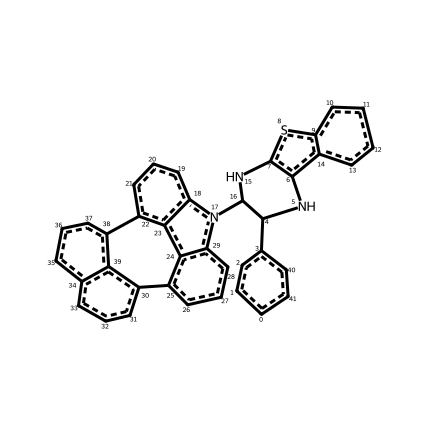 c1ccc(C2Nc3c(sc4ccccc34)NC2n2c3cccc4c3c3c(cccc32)-c2cccc3cccc-4c23)cc1